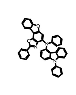 c1ccc(-c2nc3c(N(c4ccccc4)c4cccc5c4c4ccccc4n5-c4ccccc4)cc4oc5ccccc5c4c3o2)cc1